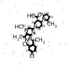 Cc1nn([C@H](C)c2ccc(Cl)cc2Cl)c2nc(N3CC[C@H](N4CCC[C@H]4C)[C@H](C(=O)O)C3)cnc12.Cl